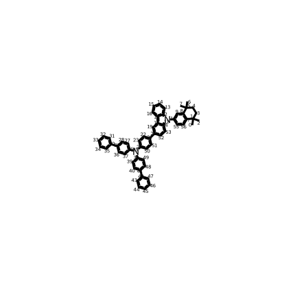 CC1(C)CCC(C)(C)c2cc(-n3c4ccccc4c4cc(-c5ccc(N(c6ccc(-c7ccccc7)cc6)c6ccc(-c7ccccc7)cc6)cc5)ccc43)ccc21